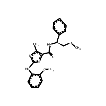 COC[C@@H](NC(=O)c1sc(Nc2ccccc2OC)nc1C)c1ccccc1